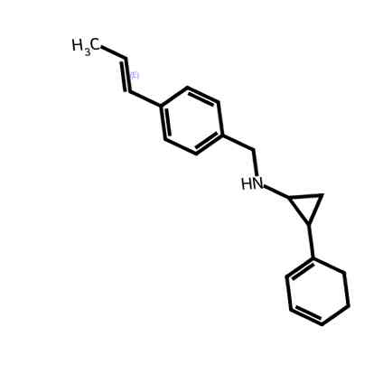 C/C=C/c1ccc(CNC2CC2C2=CC=CCC2)cc1